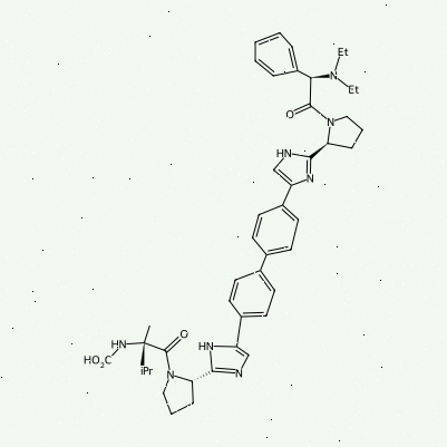 CCN(CC)[C@@H](C(=O)N1CCC[C@H]1c1nc(-c2ccc(-c3ccc(-c4cnc([C@@H]5CCCN5C(=O)[C@@](C)(NC(=O)O)C(C)C)[nH]4)cc3)cc2)c[nH]1)c1ccccc1